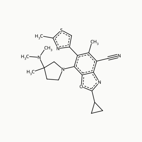 Cc1nc(-c2c(C)c(C#N)c3nc(C4CC4)oc3c2N2CCC(C)(N(C)C)C2)cs1